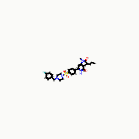 CCCC1C(=O)N(C)c2cc(-c3ccc(S(=O)(=O)N4CCN(Cc5ccc(F)cc5)CC4)cc3)[nH]c(=O)c21